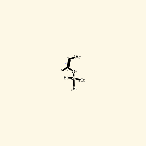 CC[Si](CC)(CC)O/C(C)=C\C(C)=O